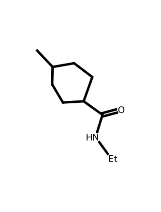 CCNC(=O)C1CCC(C)CC1